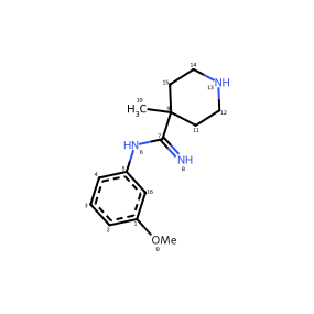 COc1cccc(NC(=N)C2(C)CCNCC2)c1